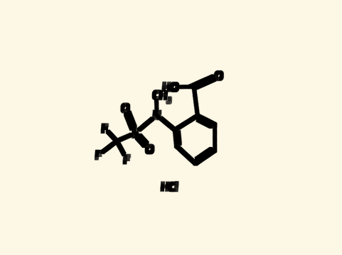 CN(c1ccccc1C(=O)O)S(=O)(=O)C(F)(F)F.Cl